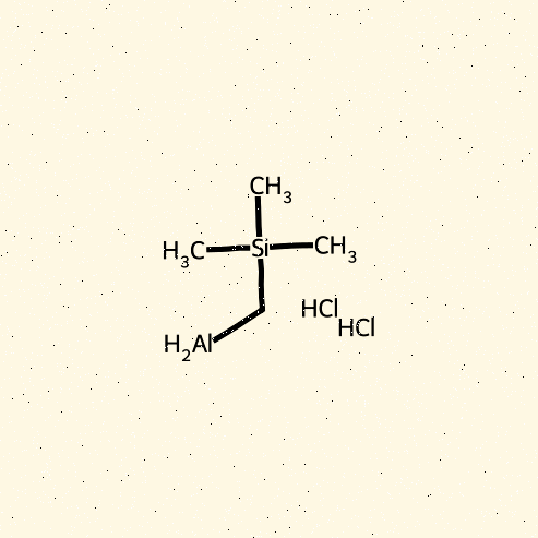 C[Si](C)(C)[CH2][AlH2].Cl.Cl